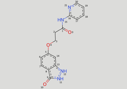 O=C(CCOc1ccc2c(=O)[nH][nH]c2c1)Nc1ccccn1